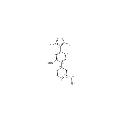 COc1cc(-n2c(C)ccc2C)ncc1N1CCN[C@@H](CO)C1